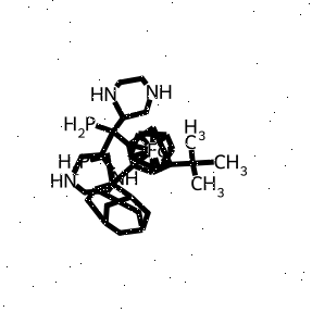 CC(C)(C)[C]12[CH]3[C]4(C(P)(C5CNCCN5)C5CNCCN5)[C]5(C6(CP)C7CC8CC(C7)CC6C8)[CH]1[Fe]32451678[CH]2[CH]1[CH]6[CH]7[CH]28